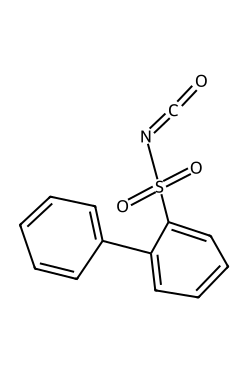 O=C=NS(=O)(=O)c1ccccc1-c1ccccc1